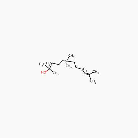 CC(C)=C[SiH2]CC[Si](C)(C)CC[SiH2]C(C)(C)O